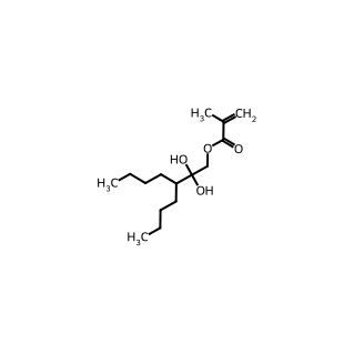 C=C(C)C(=O)OCC(O)(O)C(CCCC)CCCC